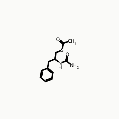 CC(=O)SCC(Cc1ccccc1)NC(N)=O